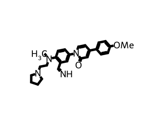 COc1ccc(-c2ccn(-c3ccc(N(C)CCN4CCCC4)c(C=N)c3)c(=O)c2)cc1